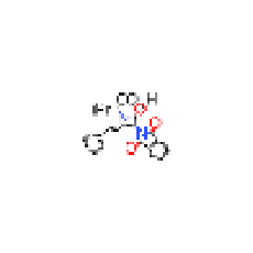 CC(C)[C@H](C(=O)O)N1C(=O)[C@@H](N2C(=O)c3ccccc3C2=O)[C@H]1C=Cc1ccccc1